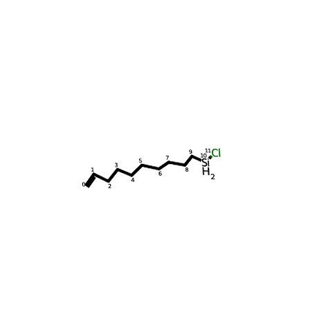 C=CCCCCCCCC[SiH2]Cl